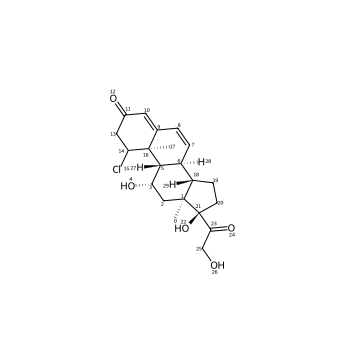 C[C@]12C[C@H](O)[C@H]3[C@@H](C=CC4=CC(=O)CC(Cl)[C@@]43C)[C@@H]1CC[C@]2(O)C(=O)CO